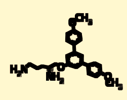 COc1ccc(-c2cc(OC[C@@H](N)CCCN)cc(-c3ccc(OC)cc3)c2)cc1